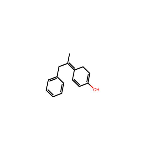 CC(Cc1ccccc1)=C1C=CC(O)=CC1